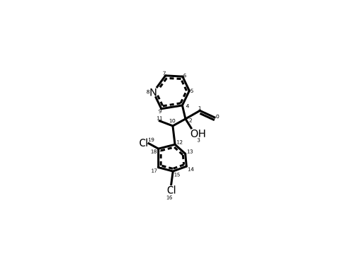 C=CC(O)(c1cccnc1)C(C)c1ccc(Cl)cc1Cl